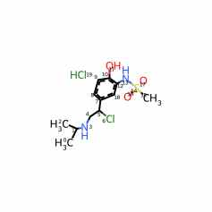 CC(C)NCC(Cl)c1ccc(O)c(NS(C)(=O)=O)c1.Cl